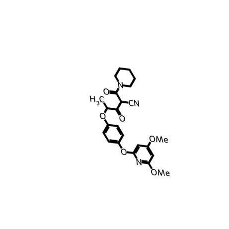 COc1cc(OC)nc(Oc2ccc(OC(C)C(=O)C(C#N)C(=O)N3CCCCC3)cc2)c1